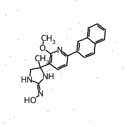 COc1nc(-c2ccc3ccccc3c2)ccc1C1(C)CN/C(=N\O)N1